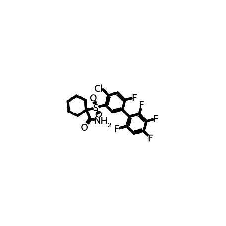 NC(=O)C1(S(=O)(=O)c2cc(-c3c(F)cc(F)c(F)c3F)c(F)cc2Cl)CCCCC1